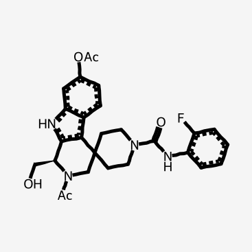 CC(=O)Oc1ccc2c3c([nH]c2c1)[C@H](CO)N(C(C)=O)CC31CCN(C(=O)Nc2ccccc2F)CC1